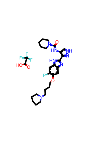 O=C(Nc1c[nH]nc1-c1nc2cc(OCCCCN3CCCCC3)c(F)cc2[nH]1)N1CCCCC1.O=C(O)C(F)(F)F